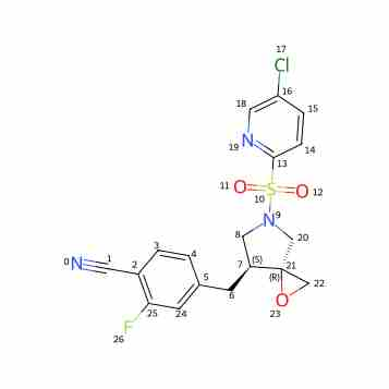 N#Cc1ccc(C[C@H]2CN(S(=O)(=O)c3ccc(Cl)cn3)C[C@@]23CO3)cc1F